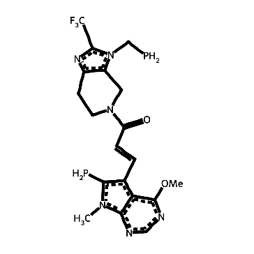 COc1ncnc2c1c(/C=C/C(=O)N1CCc3nc(C(F)(F)F)n(CP)c3C1)c(P)n2C